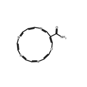 NC(=O)c1cncccnccnccnccoc1